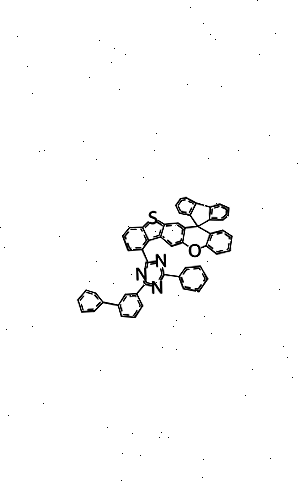 c1ccc(-c2cccc(-c3nc(-c4ccccc4)nc(-c4cccc5sc6cc7c(cc6c45)Oc4ccccc4C74c5ccccc5-c5ccccc54)n3)c2)cc1